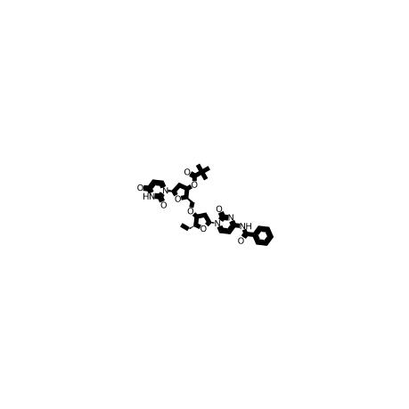 CC[C@H]1O[C@@H](n2ccc(NC(=O)c3ccccc3)nc2=O)CC1OC[C@H]1O[C@@H](n2ccc(=O)[nH]c2=O)CC1OC(=O)C(C)(C)C